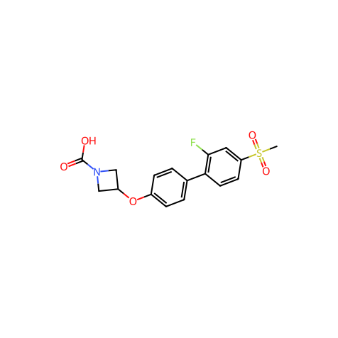 CS(=O)(=O)c1ccc(-c2ccc(OC3CN(C(=O)O)C3)cc2)c(F)c1